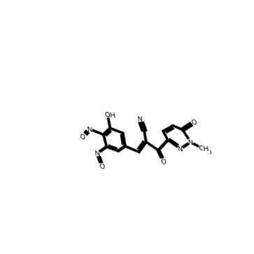 Cn1nc(C(=O)/C(C#N)=C/c2cc(O)c(N=O)c(N=O)c2)ccc1=O